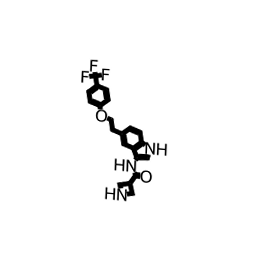 O=C(Nc1c[nH]c2ccc(CCOc3ccc(C(F)(F)F)cc3)cc12)C1CNC1